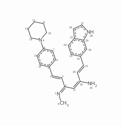 C/N=C(/C=C/c1ccc(N2CCCCC2)cc1)\C=C(N)/C=C/c1ccc2cc[nH]c2c1